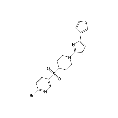 O=S(=O)(c1ccc(Br)nc1)C1CCN(c2nc(-c3ccsc3)cs2)CC1